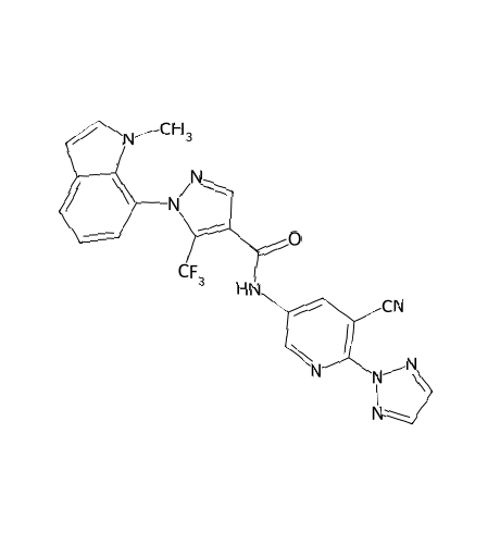 Cn1ccc2cccc(-n3ncc(C(=O)Nc4cnc(-n5nccn5)c(C#N)c4)c3C(F)(F)F)c21